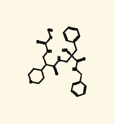 CC(C)(C)OC(=O)NCC(C(=O)NC[C@](O)(Cc1ccccc1)C(=O)NCc1ccccc1)C1CCOCC1